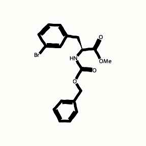 COC(=O)[C@H](Cc1cccc(Br)c1)NC(=O)OCc1ccccc1